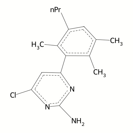 CCCc1cc(C)c(C)c(-c2cc(Cl)nc(N)n2)c1C